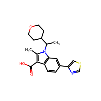 Cc1c(C(=O)O)c2ccc(-c3cscn3)cc2n1C(C)C1CCOCC1